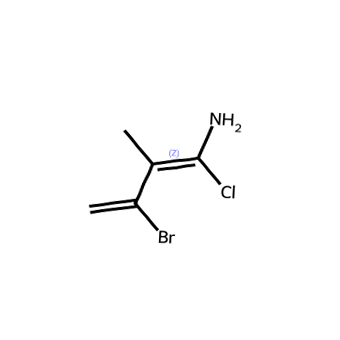 C=C(Br)/C(C)=C(/N)Cl